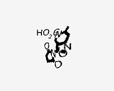 CC1Cc2noc(N3C(=O)CCC3=O)c2CN1C(=O)O